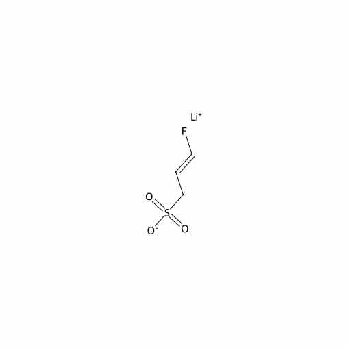 O=S(=O)([O-])CC=CF.[Li+]